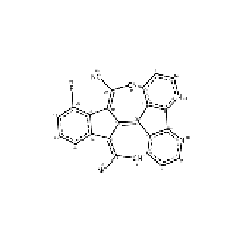 N#CC(C#N)=C1C(=C2c3cccnc3-c3ncccc32)C(=C(C#N)C#N)c2c(F)cccc21